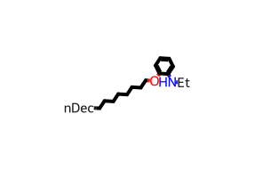 CCCCCCCCCCCCCCCCCCOc1ccccc1NCC